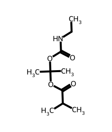 CCNC(=O)OC(C)(C)OC(=O)C(C)C